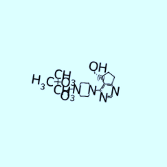 CC(C)(C)OC(=O)N1CCN(c2ncnc3c2[C@H](CO)CC3)CC1